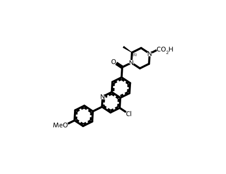 COc1ccc(-c2cc(Cl)c3ccc(C(=O)N4CCN(C(=O)O)C[C@@H]4C)cc3n2)cc1